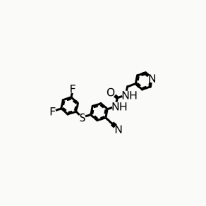 N#Cc1cc(Sc2cc(F)cc(F)c2)ccc1NC(=O)NCc1ccncc1